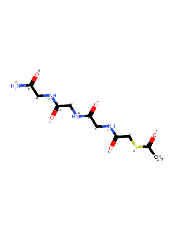 CC(=O)SCC(=O)NCC(=O)NCC(=O)NCC(N)=O